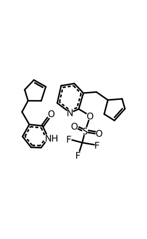 O=S(=O)(Oc1ncccc1CC1CC=CC1)C(F)(F)F.O=c1[nH]cccc1CC1CC=CC1